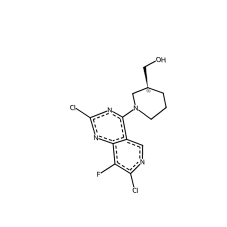 OC[C@H]1CCCN(c2nc(Cl)nc3c(F)c(Cl)ncc23)C1